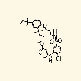 CCC(=CC(=O)OC)Nc1cc(S(=O)(=O)NCCCOc2ccc(C(C)(C)CC)cc2C(C)(C)CC)ccc1Cl